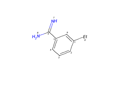 [CH2]Cc1cccc(C(=N)N)c1